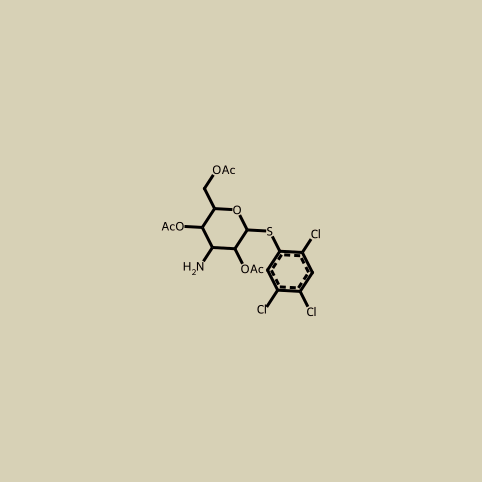 CC(=O)OCC1OC(Sc2cc(Cl)c(Cl)cc2Cl)C(OC(C)=O)C(N)C1OC(C)=O